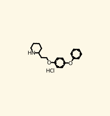 Cl.c1ccc(Oc2ccc(OCCC3CCCCN3)cc2)cc1